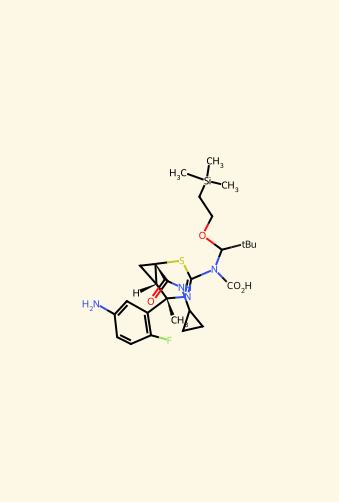 CC(C)(C)C(OCC[Si](C)(C)C)N(C(=O)O)C1=N[C@](C)(c2cc(N)ccc2F)[C@@H]2C[C@]2(C(=O)NC2CC2)S1